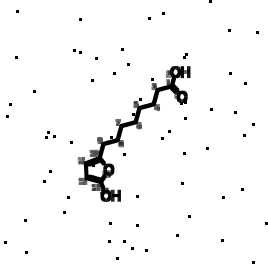 O=C(O)CCCCCCCc1ccc(O)o1